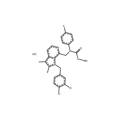 Cc1c(C)n(Cc2ccc(Cl)c(Cl)c2)c2c(CN(C(=O)OC(C)(C)C)c3ccc(F)cc3)nccc12.Cl